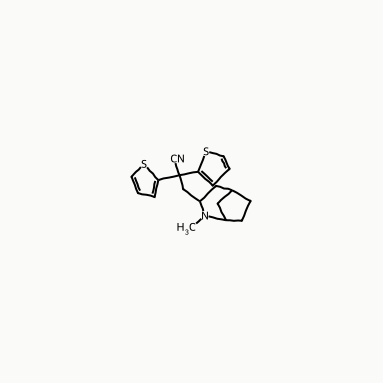 CN1C2CCC(C2)CC1CC(C#N)(c1cccs1)c1cccs1